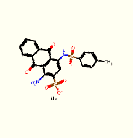 Cc1ccc(S(=O)(=O)Nc2cc(S(=O)(=O)[O-])c(N)c3c2C(=O)c2ccccc2C3=O)cc1.[Na+]